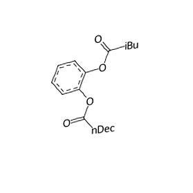 CCCCCCCCCCC(=O)Oc1ccccc1OC(=O)C(C)CC